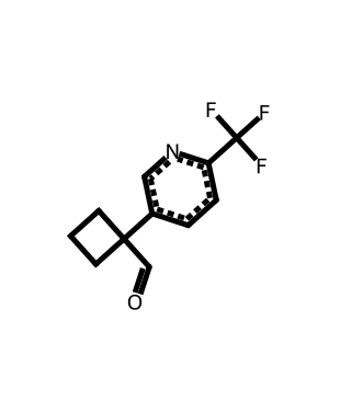 O=CC1(c2ccc(C(F)(F)F)nc2)CCC1